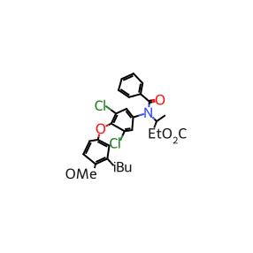 CCOC(=O)C(C)N(C(=O)c1ccccc1)c1cc(Cl)c(Oc2ccc(OC)c(C(C)CC)c2)c(Cl)c1